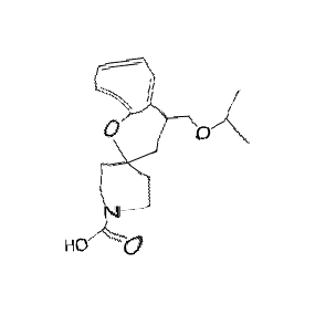 CC(C)OCC1CC2(CCN(C(=O)O)CC2)Oc2ccccc21